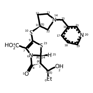 CC[C@H](O)[C@@H]1C(=O)N2C(C(=O)O)=C(S[C@H]3CCN(Cc4cccnc4)C3)S[C@H]12